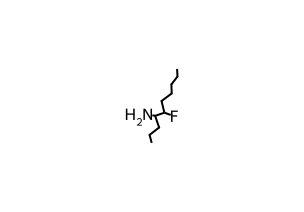 CCCCCC(F)C(N)CCC